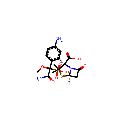 COC(C(N)=O)(c1ccc(N)cc1[C@]1(C(=O)O)N2C(=O)C[C@H]2SC1(C)C)S(=O)(=O)O